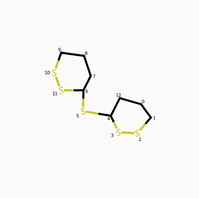 C1CSSC(SC2CCCSS2)C1